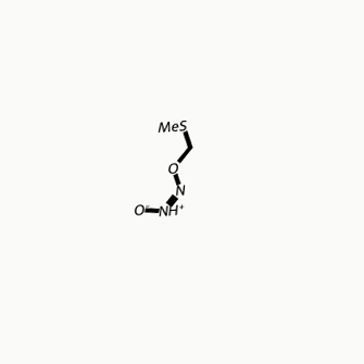 CSCO/N=[NH+]\[O-]